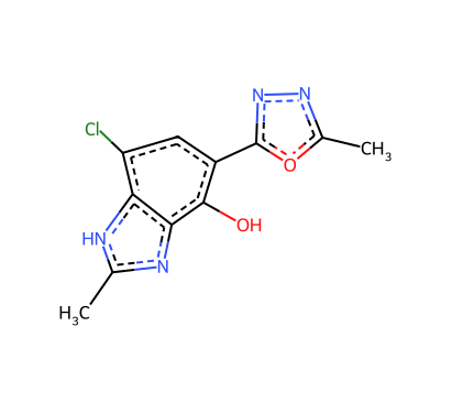 Cc1nc2c(O)c(-c3nnc(C)o3)cc(Cl)c2[nH]1